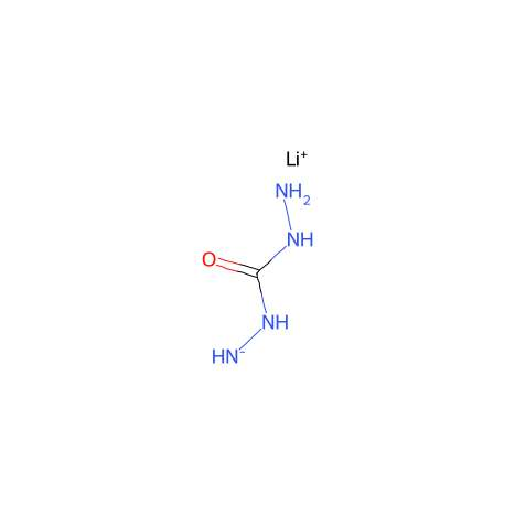 [Li+].[NH-]NC(=O)NN